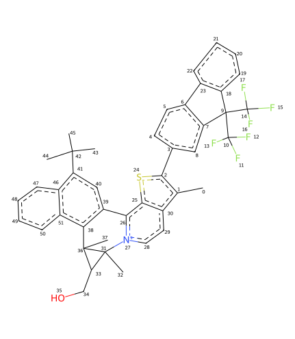 Cc1c(-c2ccc3c(c2)C(C(F)(F)F)(C(F)(F)F)c2ccccc2-3)sc2c3[n+](ccc12)C1(C)C(CO)C1(C)c1c-3cc(C(C)(C)C)c2ccccc12